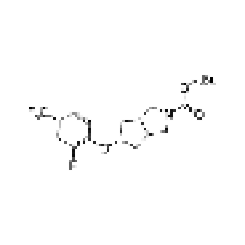 CC(C)(C)OC(=O)N1CC2CC(Oc3ccc(C(F)(F)F)cc3F)CC2C1